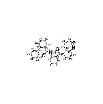 O=C(Nc1ccccc1C(=O)C1CC=CC2=C1CC=CN=N2)c1ccccc1-c1ccccc1